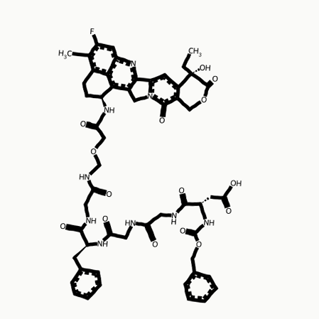 CC[C@@]1(O)C(=O)OCc2c1cc1n(c2=O)Cc2c-1nc1cc(F)c(C)c3c1c2[C@@H](NC(=O)COCNC(=O)CNC(=O)[C@H](Cc1ccccc1)NC(=O)CNC(=O)CNC(=O)[C@H](CC(=O)O)NC(=O)OCc1ccccc1)CC3